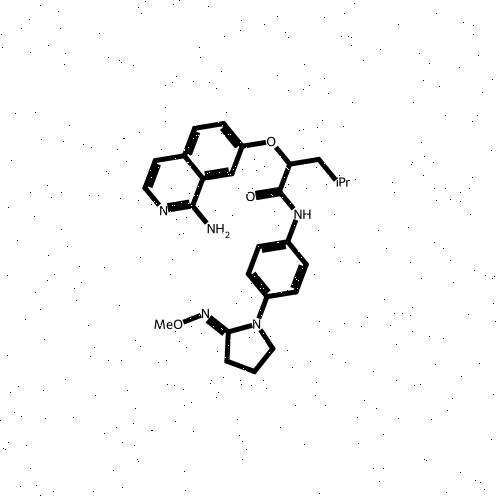 CON=C1CCCN1c1ccc(NC(=O)C(CC(C)C)Oc2ccc3ccnc(N)c3c2)cc1